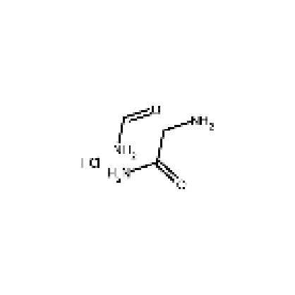 Cl.NC=O.NCC(N)=O